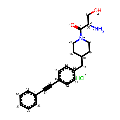 Cl.N[C@H](CO)C(=O)N1CCC(Cc2ccc(C#Cc3ccccc3)cc2)CC1